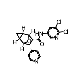 O=C(Nc1cnc(Cl)c(Cl)c1)[C@H]1[C@H]2O[C@H]([C@@H]3C[C@@H]32)[C@H]1c1ccncc1